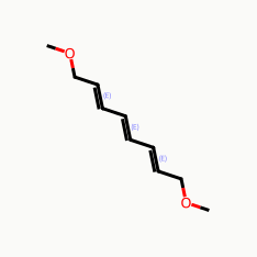 COC/C=C/C=C/C=C/COC